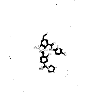 COc1cc(CI)cc(C(=O)Nc2ccc(Cl)cn2)c1NC(=O)c1ccc(C(=N)N2CCCC2)cc1F